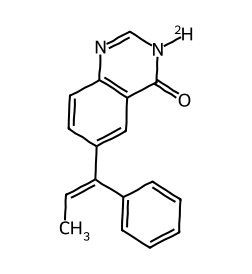 [2H]n1cnc2ccc(C(=CC)c3ccccc3)cc2c1=O